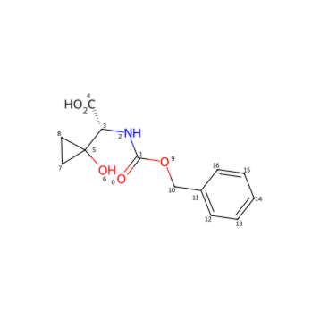 O=C(N[C@@H](C(=O)O)C1(O)CC1)OCc1ccccc1